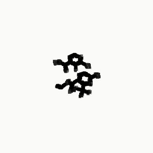 CCOC(=O)c1ccc(Cl)nc1C(F)(F)F.O=C(O)c1ccnc(Cl)c1F